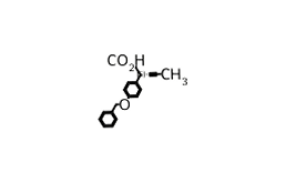 CC#C[C@@H](CC(=O)O)c1ccc(OCc2ccccc2)cc1